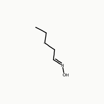 CC[CH]CC=NO